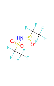 O=S(=O)(N[S+]([O-])C(F)(F)C(F)(F)F)C(F)(F)C(F)(F)F